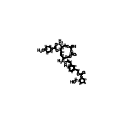 C/C(=C\c1cccc(COC(=O)N2CCC[C@@H]2CO)c1)[C@H]1OC(=O)C[C@H](O)CC[C@H](C)[C@@H](OC(=O)N2CCN(C)CC2)/C=C/[C@@H]1C